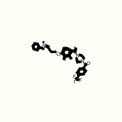 Cc1c(OCCCN(C)Cc2ccccc2)ccc(C(C)N2CCN(C(=O)c3ccc(C(F)(F)F)cc3)CC2)c1C